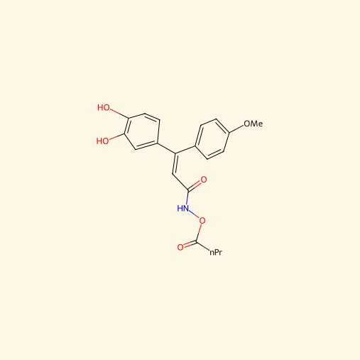 CCCC(=O)ONC(=O)/C=C(\c1ccc(OC)cc1)c1ccc(O)c(O)c1